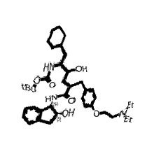 CCN(CC)CCOc1ccc(CC(CC(O)C(CC2CCCCC2)NC(=O)OC(C)(C)C)C(=O)N[C@H]2c3ccccc3C[C@@H]2O)cc1